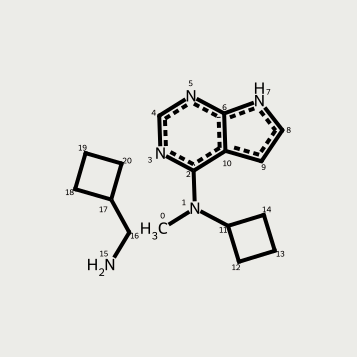 CN(c1ncnc2[nH]ccc12)C1CCC1.NCC1CCC1